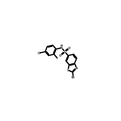 [2H]c1nc2ccc(S(=O)(=O)Nc3ccc(Cl)cc3I)cc2s1